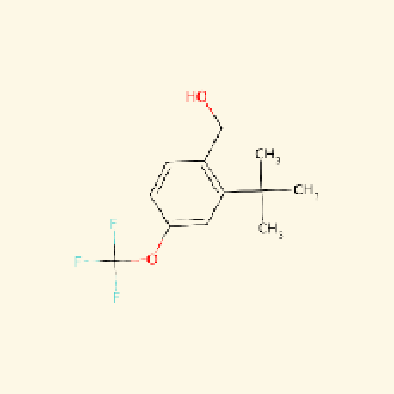 CC(C)(C)c1cc(OC(F)(F)F)ccc1CO